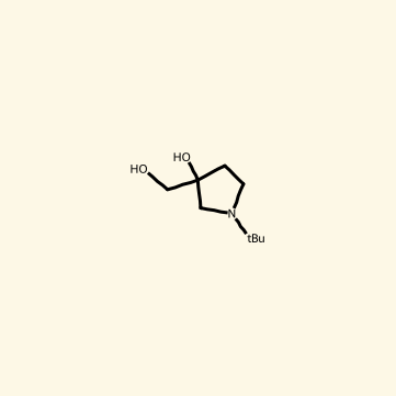 CC(C)(C)N1CCC(O)(CO)C1